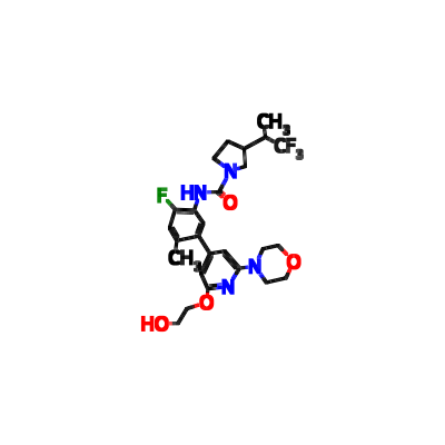 Cc1cc(F)c(NC(=O)N2CCC(C(C)C(F)(F)F)C2)cc1-c1cc(OCCO)nc(N2CCOCC2)c1